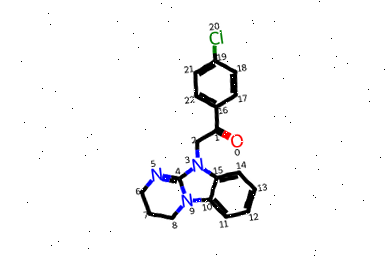 O=C(CN1C2=NCCCN2c2ccccc21)c1ccc(Cl)cc1